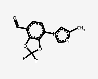 Cc1cn(-c2ccc(C=O)c3c2OC(F)(F)O3)cn1